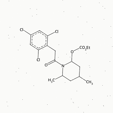 CCOC(=O)OC1CC(C)CC(C)N1C(=O)Cc1c(Cl)cc(Cl)cc1Cl